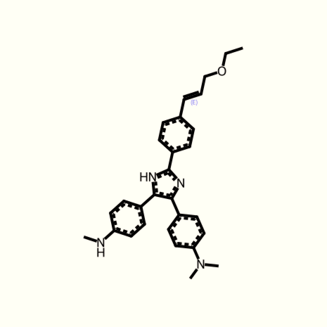 CCOC/C=C/c1ccc(-c2nc(-c3ccc(N(C)C)cc3)c(-c3ccc(NC)cc3)[nH]2)cc1